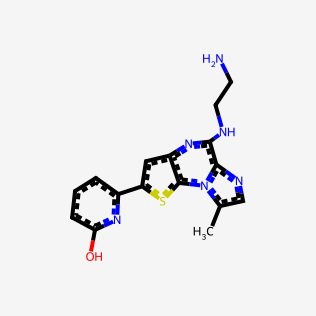 Cc1cnc2c(NCCN)nc3cc(-c4cccc(O)n4)sc3n12